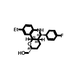 CCc1ccc2c(c1)[C@H]1O[C@@H](CO)CC[C@H]1[C@H](C1C=CC(F)=CC1)N2